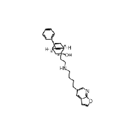 O[C@@]1(CCNCCCCc2cnc3occc3c2)C[C@H]2CC[C@@H]1C=C2c1ccccc1